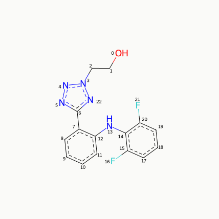 OCCn1nnc(-c2ccccc2Nc2c(F)cccc2F)n1